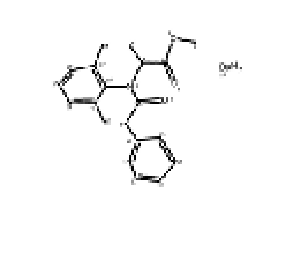 COC(=O)C(C)N(C(=O)Cc1ccccc1)c1c(C)cccc1C.[BaH2]